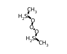 C[SiH2]OOO[SiH2]C